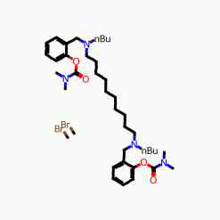 CBr.CBr.CCCCN(CCCCCCCCCCN(CCCC)Cc1ccccc1OC(=O)N(C)C)Cc1ccccc1OC(=O)N(C)C